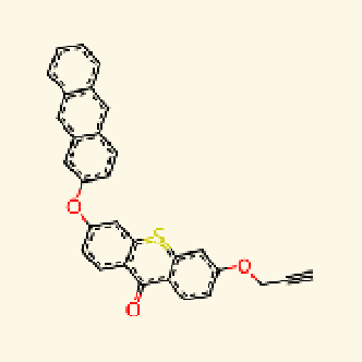 C#CCOc1ccc2c(=O)c3ccc(Oc4ccc5cc6ccccc6cc5c4)cc3sc2c1